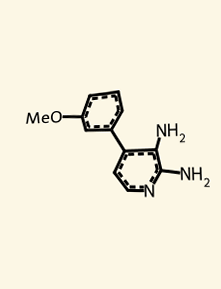 COc1cccc(-c2ccnc(N)c2N)c1